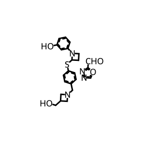 O=Cc1nnco1.OCC1CN(Cc2ccc(SC3CCN3c3cccc(O)c3)cc2)C1